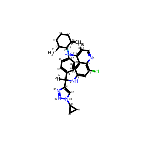 [2H]C(Nc1cc(Cl)c2ncc(C#N)c(NC3C(C)CCCC3C)c2c1)(c1ccc(F)cc1)c1cn(C2CC2)nn1